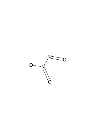 O=[N+][N+](=O)[O-]